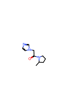 CC1CCCN1C(=O)Cn1ccnc1